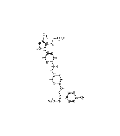 CO/N=C(\COc1ccc(CNc2ccc(-c3onc(C)c3CCC(=O)O)cc2)cc1)c1ccc(C#N)cc1